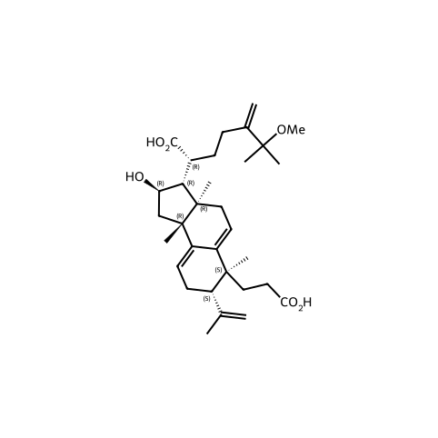 C=C(C)[C@@H]1CC=C2C(=CC[C@]3(C)[C@@H]([C@@H](CCC(=C)C(C)(C)OC)C(=O)O)[C@H](O)C[C@@]23C)[C@@]1(C)CCC(=O)O